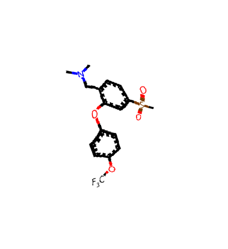 CN(C)Cc1ccc(S(C)(=O)=O)cc1Oc1ccc(OC(F)(F)F)cc1